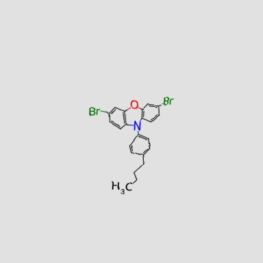 CCCCc1ccc(N2c3ccc(Br)cc3Oc3cc(Br)ccc32)cc1